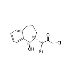 CCN(C(=O)CCl)[C@H]1CCCc2ccccc2[C@@H]1O